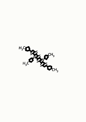 Cc1ccc(-c2cc3sc4c5sc6c(sc7c8sc9cc(-c%10ccc(C)cc%10)sc9c8n(-c8ccc(C)cc8)c76)c5n(-c5ccc(C)cc5)c4c3s2)cc1